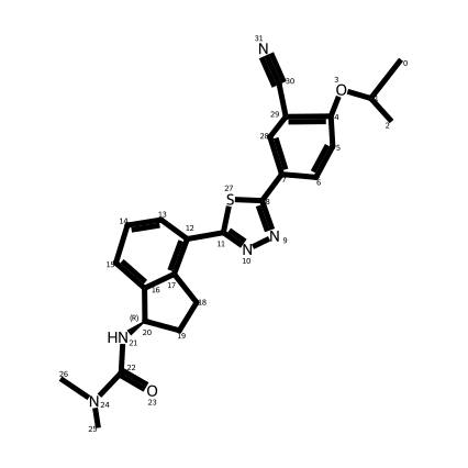 CC(C)Oc1ccc(-c2nnc(-c3cccc4c3CC[C@H]4NC(=O)N(C)C)s2)cc1C#N